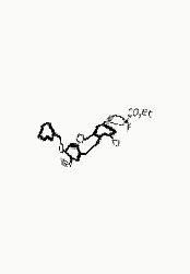 CCOC(=O)C(F)Oc1cc(Cl)c(Cc2ccc(OCc3ccccc3)c(C(C)C)c2)c(Cl)c1